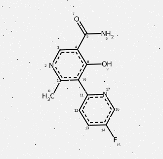 Cc1ncc(C(N)=O)c(O)c1-c1ccc(F)cn1